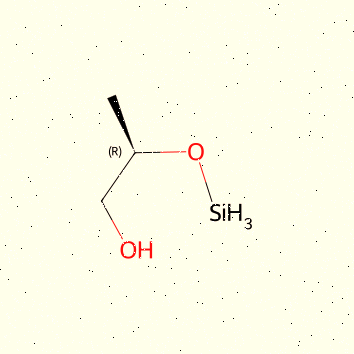 C[C@H](CO)O[SiH3]